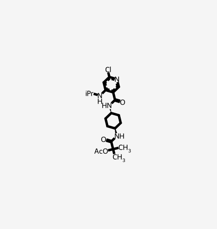 CC(=O)OC(C)(C)C(=O)N[C@H]1CC[C@H](NC(=O)c2cnc(Cl)cc2NC(C)C)CC1